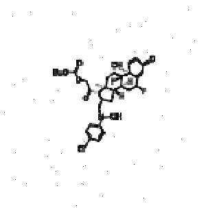 CC(C)COC(=O)OCC(=O)[C@H]1[C@H](CN(O)c2ccc(Cl)cc2)C[C@H]2[C@@H]3C[C@H](F)C4=CC(=O)C=C[C@]4(C)[C@@]3(F)[C@@H](O)C[C@@]21C